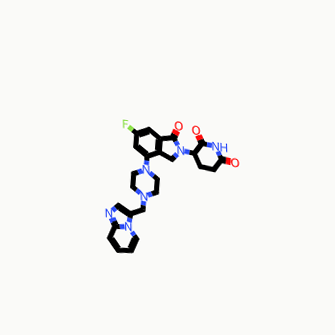 O=C1CCC(N2Cc3c(cc(F)cc3N3CCN(Cc4cnc5ccccn45)CC3)C2=O)C(=O)N1